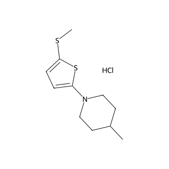 CSc1ccc(N2CCC(C)CC2)s1.Cl